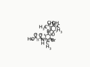 Cc1cc(Oc2c(Br)cc(NC(=O)CC(=O)O)c(C)c2Br)cc(C(C)C)c1O